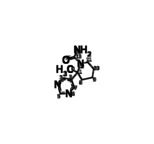 CC1(c2cncnc2)CCCCN1C(N)=O